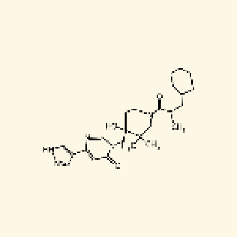 CC(CC1CCCCC1)C(=O)N1CCC(O)(Cn2cnc(-c3cn[nH]c3)cc2=O)C(C)(C)C1